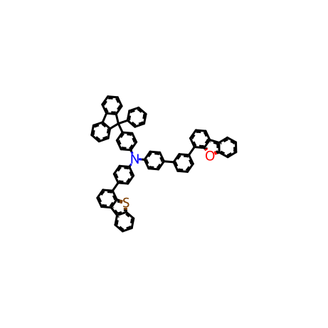 c1ccc(C2(c3ccc(N(c4ccc(-c5cccc(-c6cccc7c6oc6ccccc67)c5)cc4)c4ccc(-c5cccc6c5sc5ccccc56)cc4)cc3)c3ccccc3-c3ccccc32)cc1